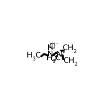 C=CC[N+](C)(CC=C)CC(=O)NCCCC.[Cl-]